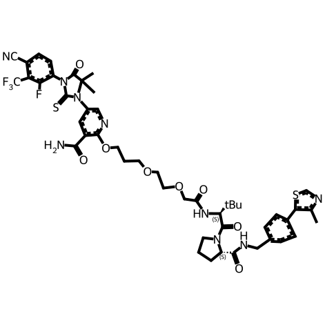 Cc1ncsc1-c1ccc(CNC(=O)[C@@H]2CCCN2C(=O)[C@@H](NC(=O)COCCOCCCOc2ncc(N3C(=S)N(c4ccc(C#N)c(C(F)(F)F)c4F)C(=O)C3(C)C)cc2C(N)=O)C(C)(C)C)cc1